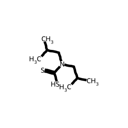 CC(C)CN(CC(C)C)C(=S)S